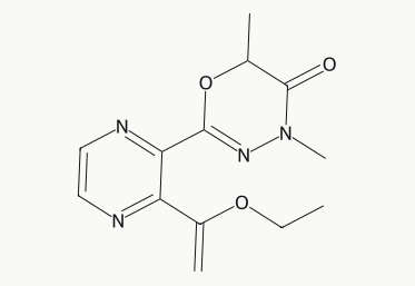 C=C(OCC)c1nccnc1C1=NN(C)C(=O)C(C)O1